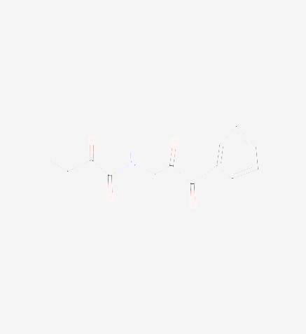 CCC(=O)C(=O)NCC(=O)C(=O)c1ccccc1